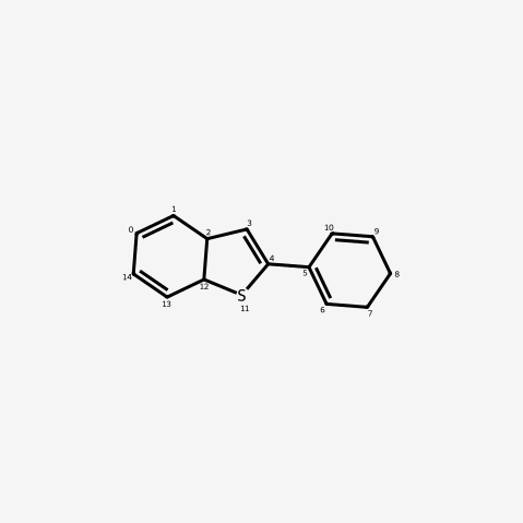 C1=CC2C=C(C3=CCCC=C3)SC2C=C1